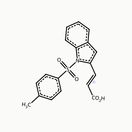 Cc1ccc(S(=O)(=O)n2c(/C=C/C(=O)O)cc3ccccc32)cc1